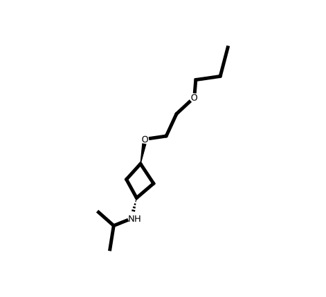 CCCOCCO[C@H]1C[C@H](NC(C)C)C1